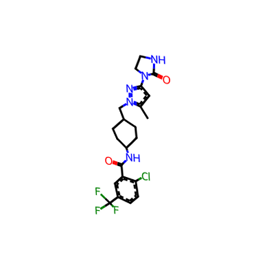 Cc1cc(N2CCNC2=O)nn1CC1CCC(NC(=O)c2cc(C(F)(F)F)ccc2Cl)CC1